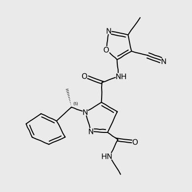 CNC(=O)c1cc(C(=O)Nc2onc(C)c2C#N)n([C@@H](C)c2ccccc2)n1